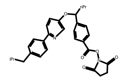 CCCC(Oc1ccc(-c2ccc(CC(C)C)cc2)nc1)c1ccc(C(=O)ON2C(=O)CCC2=O)cc1